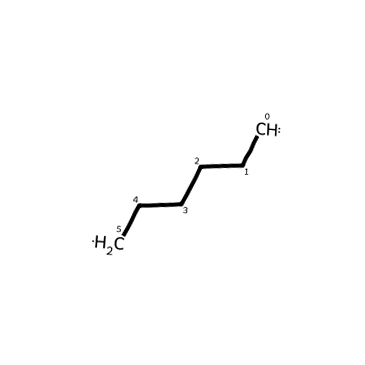 [CH]CCCC[CH2]